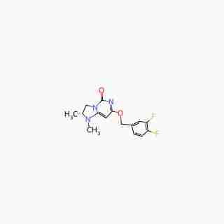 C[C@@H]1Cn2c(cc(OCc3ccc(F)c(F)c3)nc2=O)N1C